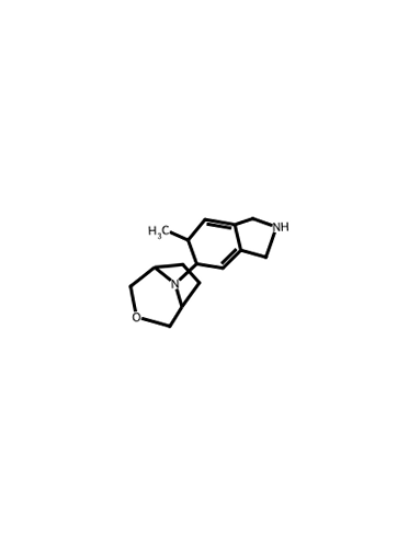 CC1C=C2CNCC2=CC1N1C2CCC1COC2